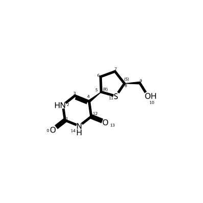 O=c1[nH]cc([C@H]2CC[C@@H](CO)S2)c(=O)[nH]1